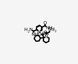 N=C(N)c1ccc(C(N)=O)cn1.NCC(=O)N1CCCCC1(C(=O)O)C1CCCCC1